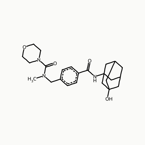 CN(Cc1ccc(C(=O)NC23CC4CC(CC(O)(C4)C2)C3)cc1)C(=O)N1CCOCC1